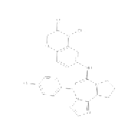 CN1C(=O)COc2ccc(NC(=O)N3CCCC3c3ncnn3Cc3ccc(Cl)cc3)cc21